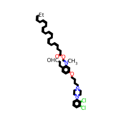 CC/C=C\C/C=C\C/C=C\C/C=C\C/C=C\C/C=C\CCC(=O)OCN(C)c1cc(OCCCCN2CCN(c3cccc(Cl)c3Cl)CC2)ccc1CCC=O